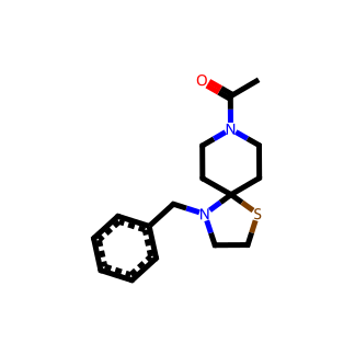 CC(=O)N1CCC2(CC1)SCCN2Cc1ccccc1